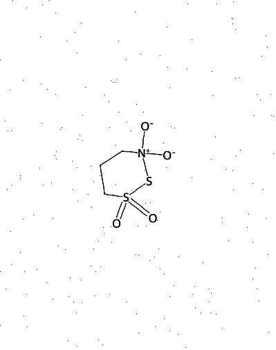 O=S1(=O)CCC[N+]([O-])([O-])S1